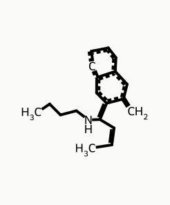 C=c1cc2ccccc2c/c1=C(/C=C\C)NCCCC